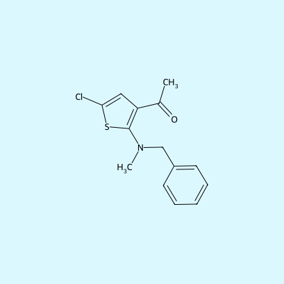 CC(=O)c1cc(Cl)sc1N(C)Cc1ccccc1